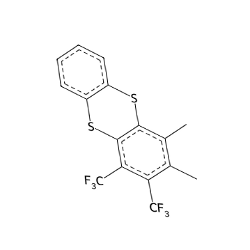 Cc1c(C)c(C(F)(F)F)c(C(F)(F)F)c2c1Sc1ccccc1S2